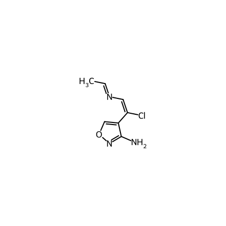 C/C=N/C=C(/Cl)c1conc1N